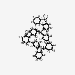 CC1(C)c2ccccc2-c2c1ccc1c3ccccc3n(-c3ccc4oc5cccc(-c6ccc7c(c6)c6ccccc6n7-c6ccccc6)c5c4c3)c21